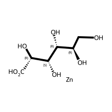 O=C(O)[C@H](O)[C@@H](O)[C@H](O)[C@H](O)CO.[Zn]